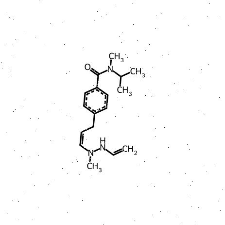 C=CNN(C)/C=C\Cc1ccc(C(=O)N(C)C(C)C)cc1